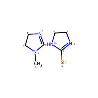 CN1C=NCC1.SC1=NCCN1